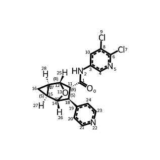 O=C(Nc1cnc(Cl)c(Cl)c1)[C@H]1[C@@H]2O[C@@H]([C@H]3C[C@H]32)[C@@H]1c1ccncc1